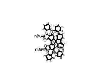 CCCCc1nc2c(N(c3ccccc3)c3ccccc3)cc3c(c2o1)-c1c(cc(N(c2ccccc2)c2ccccc2)c2nc(CCCC)oc12)C31c2ccccc2-c2ccccc21